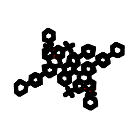 CC(C)(C)c1cc(N(c2ccc(-c3ccc(C4CCCCC4)cc3)cc2-c2ccc(C3CCCCC3)cc2)c2c3ccccc3c(N(c3cc(C(C)(C)C)cc(C(C)(C)C)c3)c3ccc(-c4ccc(C5CCCCC5)cc4)cc3-c3ccc(C4CCCCC4)cc3)c3cc(-c4ccccc4)ccc23)cc(C(C)(C)C)c1